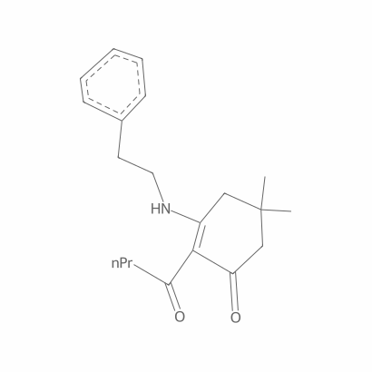 CCCC(=O)C1=C(NCCc2ccccc2)CC(C)(C)CC1=O